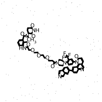 CN(C(=O)c1cccc(NCCOCCOCCOCCC(=O)N2CCN(c3ccc(-n4c(=O)ccc5cnc6ccc(-c7ccc8ccncc8c7)cc6c54)cc3C(F)(F)F)CC2)c1C=O)C1CCC(=O)NC1=O